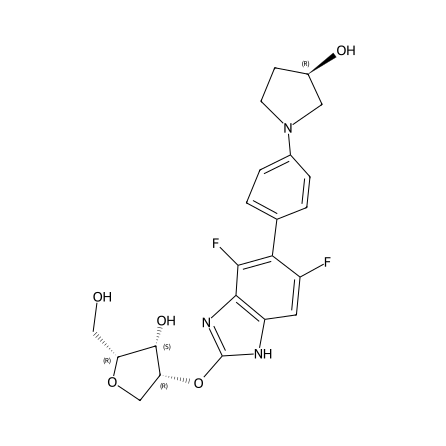 OC[C@H]1OC[C@@H](Oc2nc3c(F)c(-c4ccc(N5CC[C@@H](O)C5)cc4)c(F)cc3[nH]2)[C@H]1O